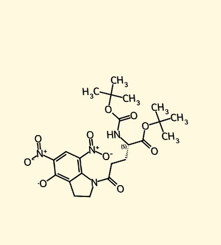 CC(C)(C)OC(=O)N[C@@H](CCC(=O)N1CCc2c([O])c([N+](=O)[O-])cc([N+](=O)[O-])c21)C(=O)OC(C)(C)C